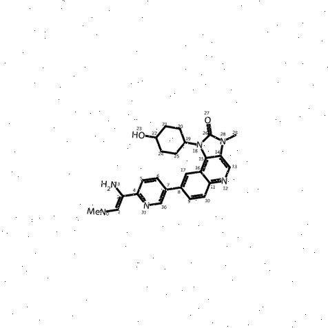 CN/C=C(\N)c1ccc(-c2ccc3ncc4c(c3c2)n(C2CCC(O)CC2)c(=O)n4C)cn1